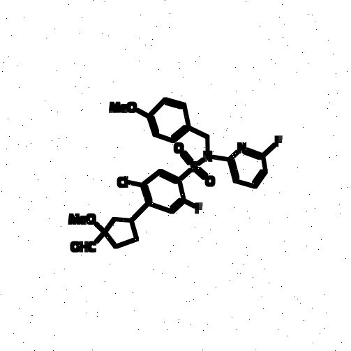 COc1ccc(CN(c2cccc(F)n2)S(=O)(=O)c2cc(Cl)c(C3CCC(C=O)(OC)C3)cc2F)cc1